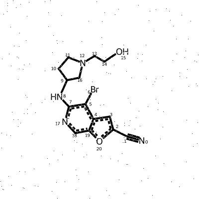 N#Cc1cc2c(Br)c(NC3CCN(CCO)C3)ncc2o1